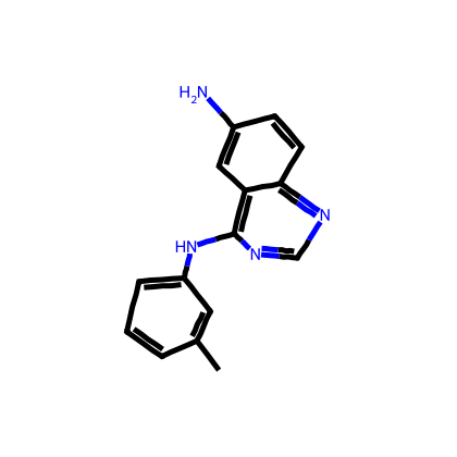 Cc1cccc(Nc2ncnc3ccc(N)cc23)c1